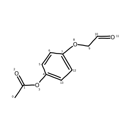 CC(=O)Oc1ccc(OC[C]=O)cc1